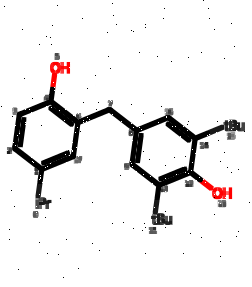 CC(C)c1ccc(O)c(Cc2cc(C(C)(C)C)c(O)c(C(C)(C)C)c2)c1